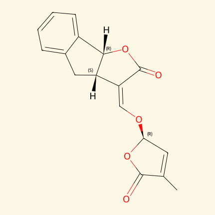 CC1=C[C@H](OC=C2C(=O)O[C@H]3c4ccccc4C[C@@H]23)OC1=O